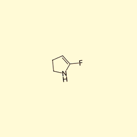 FC1=CCCN1